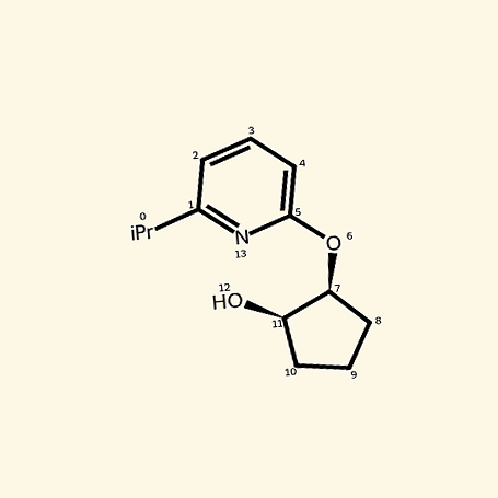 CC(C)c1cccc(O[C@H]2CCC[C@H]2O)n1